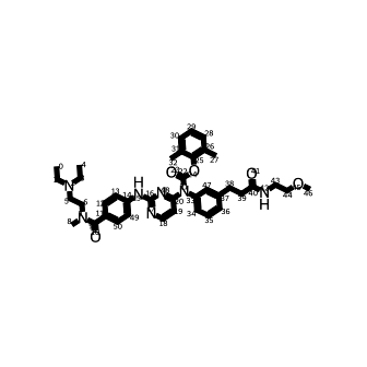 CCN(CC)CCN(C)C(=O)c1ccc(Nc2nccc(N(C(=O)Oc3c(C)cccc3C)c3cccc(CCC(=O)NCCOC)c3)n2)cc1